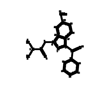 CCN(CC)C(=O)Cn1nc(C(=O)c2ccccc2)c2ccc(OC)cc21